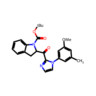 COc1cc(C)cc(-n2ccnc2C(=O)C2Cc3ccccc3N2C(=O)OC(C)(C)C)c1